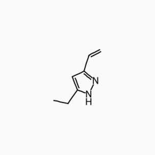 C=Cc1cc(CC)[nH]n1